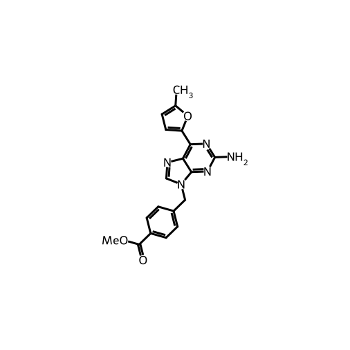 COC(=O)c1ccc(Cn2cnc3c(-c4ccc(C)o4)nc(N)nc32)cc1